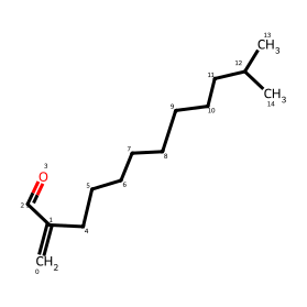 C=C([C]=O)CCCCCCCCC(C)C